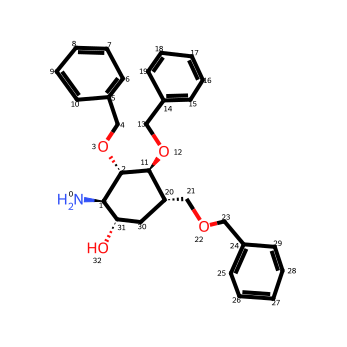 N[C@H]1[C@H](OCc2ccccc2)[C@@H](OCc2ccccc2)[C@H](COCc2ccccc2)C[C@@H]1O